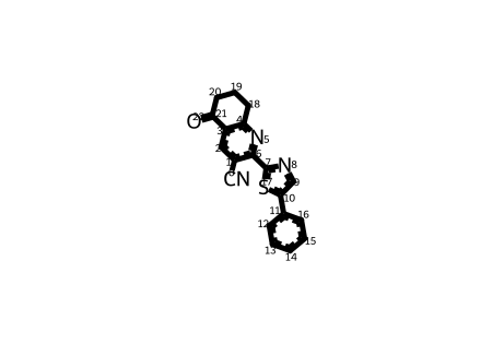 N#Cc1cc2c(nc1-c1ncc(-c3ccccc3)s1)CCCC2=O